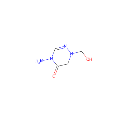 NN1C=NN(CO)CC1=O